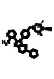 C[C@H]1CN(Cc2ccc(-n3c(-c4cccnc4N)nc4ccc(-c5ccccc5)nc43)cc2)C[C@H](C)N1C#N